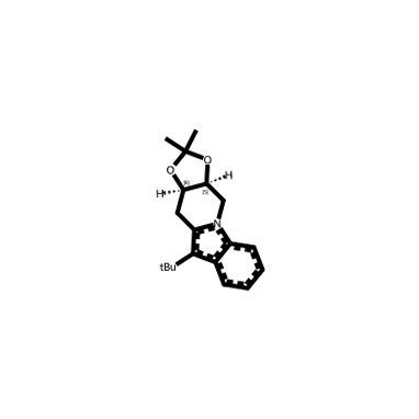 CC1(C)O[C@H]2Cn3c(c(C(C)(C)C)c4ccccc43)C[C@H]2O1